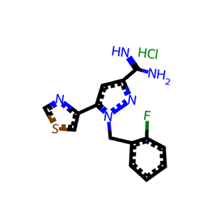 Cl.N=C(N)c1cc(-c2cscn2)n(Cc2ccccc2F)n1